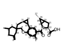 C=C1CC(C)CC(CC)(COc2cc(F)c(C(=O)N3C4C(C[C@H]3C(=O)O)[C@H]4C)cc2C2CC2)C1